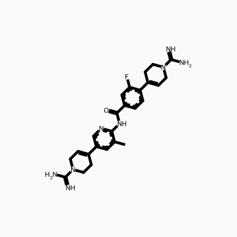 Cc1cc(C2=CCN(C(=N)N)CC2)cnc1NC(=O)c1ccc(C2=CCN(C(=N)N)CC2)c(F)c1